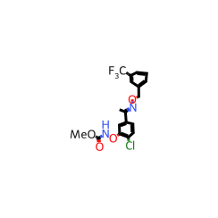 COC(=O)NOc1cc(/C(C)=N/OCc2cccc(C(F)(F)F)c2)ccc1Cl